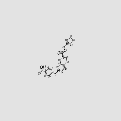 O=C(O)c1ccc(CN2C=NC3=C(C2)CN(C(=O)OCN2CCCC2)CC3)cc1